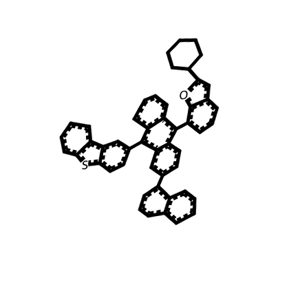 c1ccc2c(-c3ccc4c(-c5cccc6cc(C7CCCCC7)oc56)c5ccccc5c(-c5ccc6sc7ccccc7c6c5)c4c3)cccc2c1